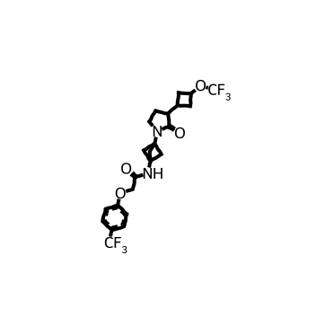 O=C(COc1ccc(C(F)(F)F)cc1)NC12CC(N3CCC(C4CC(OC(F)(F)F)C4)C3=O)(C1)C2